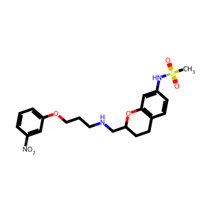 CS(=O)(=O)Nc1ccc2c(c1)OC(CNCCCOc1cccc([N+](=O)[O-])c1)CC2